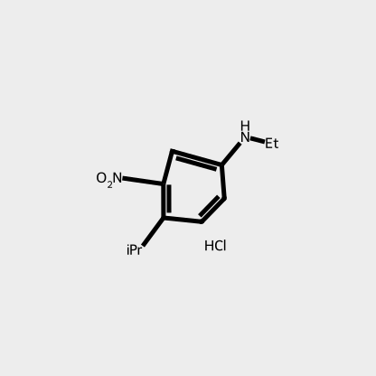 CCNc1ccc(C(C)C)c([N+](=O)[O-])c1.Cl